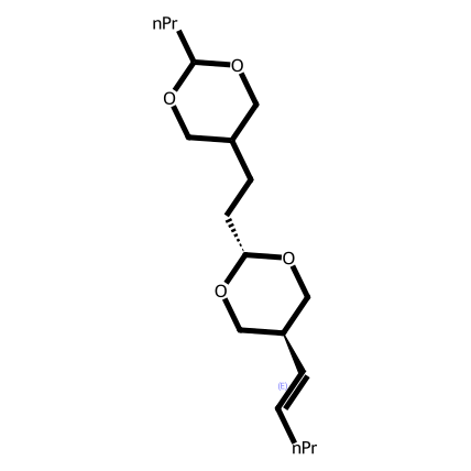 CCC/C=C/[C@H]1CO[C@H](CCC2COC(CCC)OC2)OC1